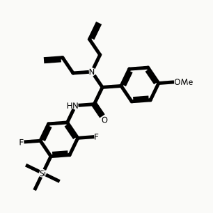 C=CCN(CC=C)C(C(=O)Nc1cc(F)c([Si](C)(C)C)cc1F)c1ccc(OC)cc1